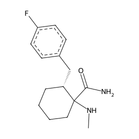 CNC1(C(N)=O)CCCC[C@@H]1Cc1ccc(F)cc1